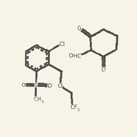 CS(=O)(=O)c1cccc(Cl)c1COCC(F)(F)F.O=CC1C(=O)CCCC1=O